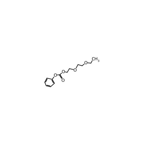 CCOCCOCCOC(=O)Oc1ccccc1